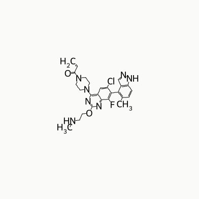 C=CC(=O)N1CCN(c2nc(OCCNC)nc3c(F)c(-c4c(C)ccc5[nH]ncc45)c(Cl)cc23)CC1